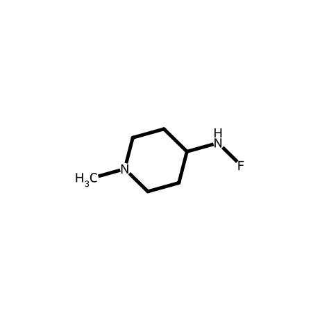 CN1CCC(NF)CC1